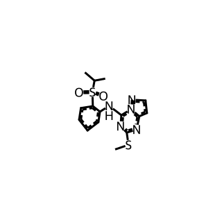 CSc1nc(Nc2ccccc2S(=O)(=O)C(C)C)n2nccc2n1